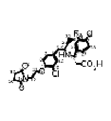 O=C(O)C[C@H](NC(Cc1ccc(OCCN2C(=O)CCC2=O)c(Cl)c1)C1CC1)c1ccc(Cl)c(F)c1